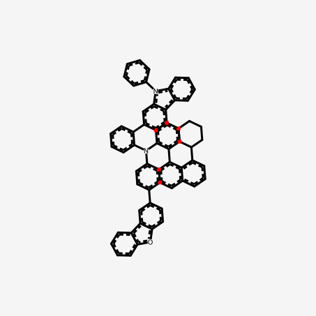 c1ccc(-n2c3ccccc3c3ccc(-c4ccccc4N(c4ccc(-c5ccc6oc7ccccc7c6c5)cc4)c4ccccc4-c4cccc5cccc(C6CCCCC6)c45)cc32)cc1